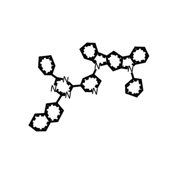 c1ccc(-c2nc(-c3cncc(-n4c5ccccc5c5cc6c7ccccc7n(-c7ccccc7)c6cc54)c3)nc(-c3ccc4ccccc4c3)n2)cc1